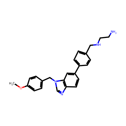 COc1ccc(Cn2cnc3ccc(-c4ccc(CNCCN)cc4)cc32)cc1